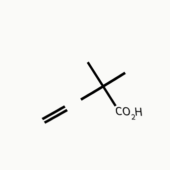 C=C.CC(C)(C)C(=O)O